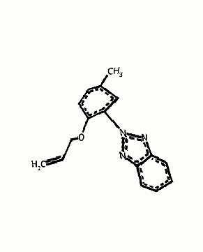 C=CCOc1ccc(C)cc1-n1nc2ccccc2n1